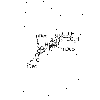 CCCCCCCCCCCCCCCC(=O)OC[C@H](CSCCC(=O)N[C@@H](NC(=O)CCCCCCCCCCCCC)C(=O)NCC(=O)NC(CCC(=O)O)C(=O)O)OC(=O)CCCCCCCCCCCCCCC